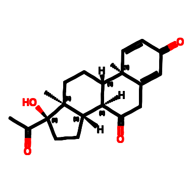 CC(=O)[C@@]1(O)CC[C@H]2[C@@H]3C(=O)CC4=CC(=O)C=C[C@]4(C)[C@H]3CC[C@@]21C